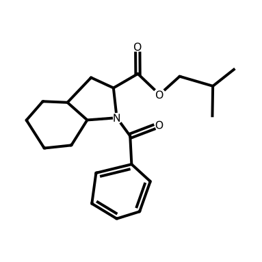 CC(C)COC(=O)C1CC2CCCCC2N1C(=O)c1ccccc1